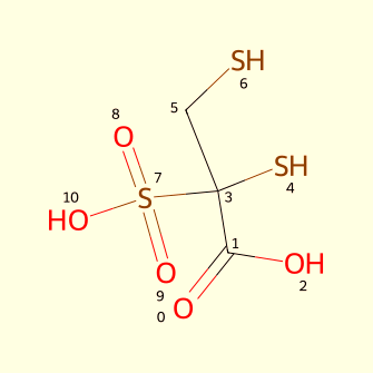 O=C(O)C(S)(CS)S(=O)(=O)O